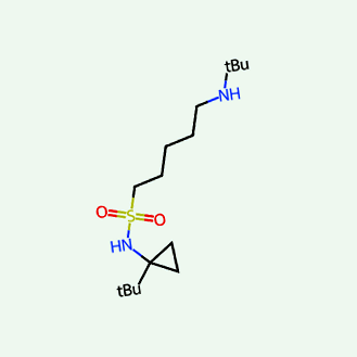 CC(C)(C)NCCCCCS(=O)(=O)NC1(C(C)(C)C)CC1